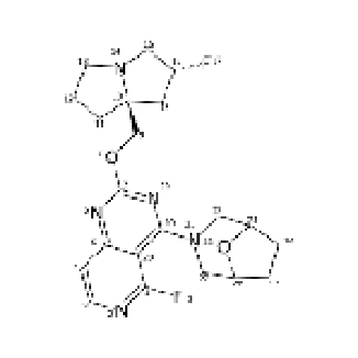 Fc1nccc2nc(OC[C@@]34CCCN3C[C@H](F)C4)nc(N3CC4CCC(C3)O4)c12